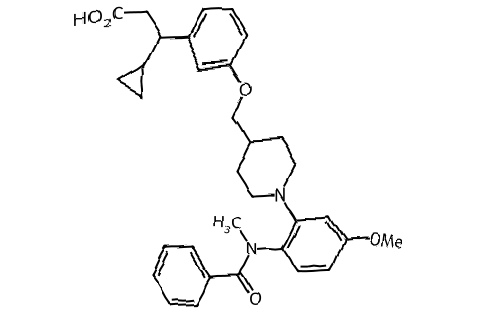 COc1ccc(N(C)C(=O)c2ccccc2)c(N2CCC(COc3cccc(C(CC(=O)O)C4CC4)c3)CC2)c1